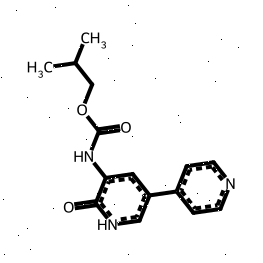 CC(C)COC(=O)Nc1cc(-c2ccncc2)c[nH]c1=O